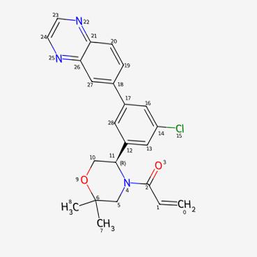 C=CC(=O)N1CC(C)(C)OC[C@H]1c1cc(Cl)cc(-c2ccc3nccnc3c2)c1